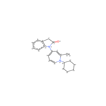 CC1=CC(N2C(=O)Cc3ccccc32)=CC=CN1C1CCCCC1